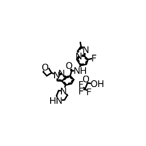 Cc1cn2cc(NC(=O)c3ccc(N4CCNCC4)c4cn(C5CCOC5)nc34)cc(F)c2n1.O=C(O)C(F)(F)F